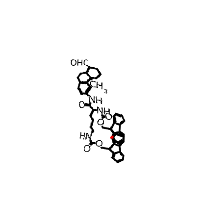 CC12CCCC(C=O)C1CCc1ccc(NC(=O)C(CCCCNC(=O)OCC3c4ccccc4-c4ccccc43)NC(=O)OCC3c4ccccc4-c4ccccc43)cc12